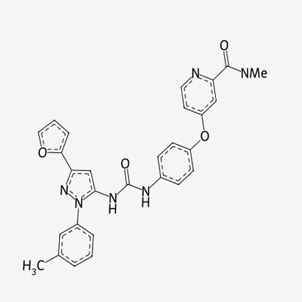 CNC(=O)c1cc(Oc2ccc(NC(=O)Nc3cc(-c4ccco4)nn3-c3cccc(C)c3)cc2)ccn1